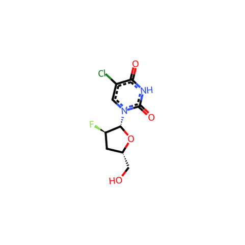 O=c1[nH]c(=O)n([C@@H]2O[C@H](CO)C[C@H]2F)cc1Cl